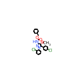 COc1c(NC(=O)OCc2ccccc2)nn(-c2ccccc2Cl)c1-c1ccc(Cl)cc1